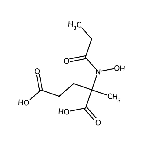 CCC(=O)N(O)C(C)(CCC(=O)O)C(=O)O